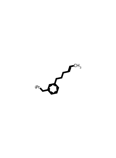 CC=CCCCc1cccc(C[C](C)C)c1